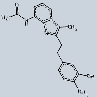 CC(=O)Nc1cccn2c(C)c(CCc3ccc(N)c(O)c3)nc12